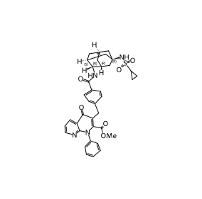 COC(=O)c1c(Cc2ccc(C(=O)N[C@H]3[C@@H]4C[C@H]5C[C@H]3C[C@](NS(=O)(=O)C3CC3)(C5)C4)cc2)c(=O)c2cccnc2n1-c1ccccc1